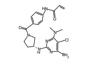 Bc1nc(N[C@@H]2CCN(C(=O)c3ccc(NC(=O)C=C)cc3)C2)nc(N(C)C)c1Cl